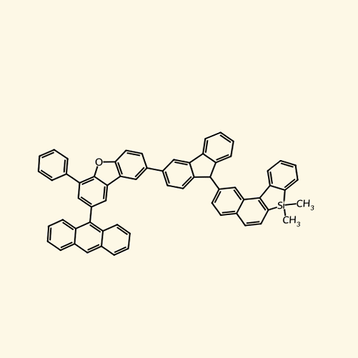 C[Si]1(C)c2ccccc2-c2c1ccc1ccc(C3c4ccccc4-c4cc(-c5ccc6oc7c(-c8ccccc8)cc(-c8c9ccccc9cc9ccccc89)cc7c6c5)ccc43)cc21